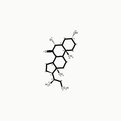 CC[C@H]1C(=O)C2C(CC[C@@]3(C)C2CC[C@@H]3[C@H](C)CC(=O)O)[C@@]2(C)CC[C@@H](O)CC12